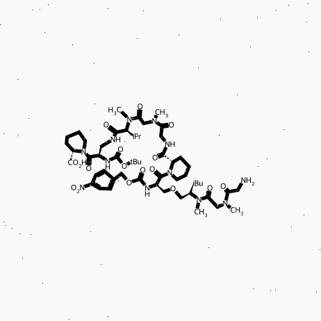 CC[C@H](C)[C@H](COC[C@@H](NC(=O)OCc1ccc([N+](=O)[O-])cc1)C(=O)N1CCCC[C@H]1C(=O)NCC(=O)N(C)CC(=O)N(C)[C@H](C(=O)NC[C@@H](NC(=O)OC(C)(C)C)C(=O)N1CCCC[C@H]1C(=O)O)C(C)C)N(C)C(=O)CN(C)C(=O)CN